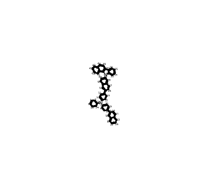 c1ccc(N(c2ccc(-c3ccc4ccccc4c3)cc2)c2ccc(-c3ccc4cc(-n5c6ccccc6c6ccc7ccccc7c65)ccc4c3)cc2)cc1